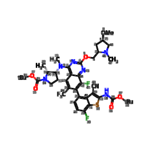 CO[C@@H]1CC(COc2nc(N(C)[C@@H]3CCN(C(=O)OC(C)(C)C)[C@@H]3C)c3cc(C(F)(F)F)c(-c4ccc(F)c5sc(NC(=O)OC(C)(C)C)c(C#N)c45)c(F)c3n2)N(C)C1